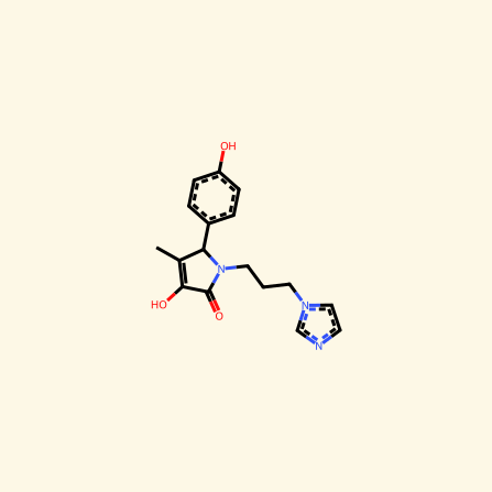 CC1=C(O)C(=O)N(CCCn2ccnc2)C1c1ccc(O)cc1